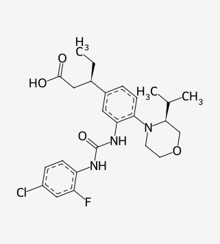 CC[C@H](CC(=O)O)c1ccc(N2CCOC[C@@H]2C(C)C)c(NC(=O)Nc2ccc(Cl)cc2F)c1